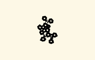 c1ccc(N(c2ccc3c4ccccc4n(-c4ccccc4)c3c2)c2cccc3c2-c2ccccc2C32c3ccccc3-c3cc(N(c4ccccc4)c4ccccc4)c4ccccc4c32)cc1